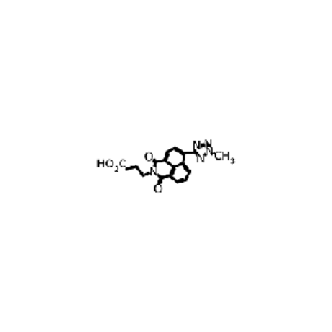 Cn1nnc(-c2ccc3c4c(cccc24)C(=O)N(CCCC(=O)O)C3=O)n1